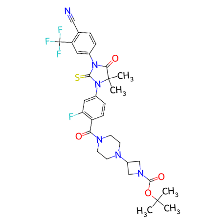 CC(C)(C)OC(=O)N1CC(N2CCN(C(=O)c3ccc(N4C(=S)N(c5ccc(C#N)c(C(F)(F)F)c5)C(=O)C4(C)C)cc3F)CC2)C1